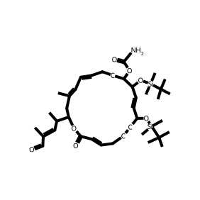 C/C(C=O)=C\C(C)C1C/C(C)=C/C=C/CCC(OC(N)=O)C(O[Si](C)(C)C(C)(C)C)/C=C/C(O[Si](C)(C)C(C)(C)C)CCC/C=C/C(=O)O1